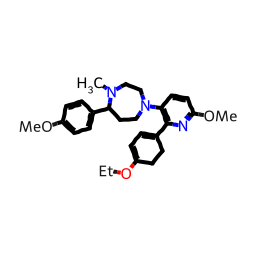 CCOC1=CC=C(c2nc(OC)ccc2N2CCC(c3ccc(OC)cc3)N(C)CC2)CC1